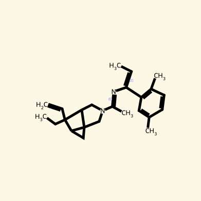 C=CC1(CC)C2CN(/C(C)=N/C(=C\C)c3cc(C)ccc3C)CC23CC13